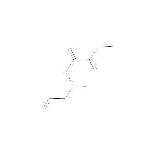 C=CCN(C)CC(=C)C(=O)OC